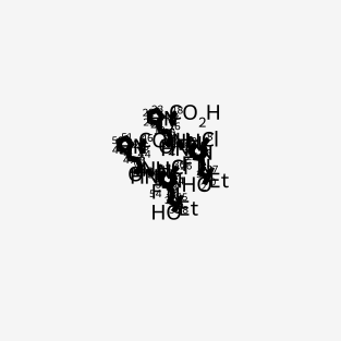 CCC1(O)CN(c2nc(Cl)nc(NNC(=O)[C@@H](CNC(=O)O)CC3CCCC3)c2F)C1.CCC1(O)CN(c2nc(Cl)nc(NNC(=O)[C@@H](CNC(=O)O)CC3CCCC3)c2F)C1